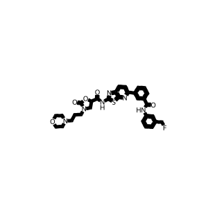 O=C(Nc1cccc(CF)c1)c1cccc(-c2ccc3nc(NC(=O)C4CN(CCCN5CCOCC5)C(=O)O4)sc3n2)c1